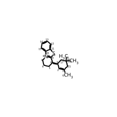 CC1=C/C(=C2\CCC[n+]3c2sc2ccccc23)CC(C)(C)C1